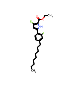 CCCCCCCCCc1ccc(-c2cc(F)c(C(=O)OCC)[nH]2)c(F)c1